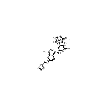 C[C@]1(c2cc(Nc3ncc(F)c4cc(OCc5ncco5)cnc34)cc(F)c2F)N=C(N)S[C@@]2(C(F)F)C[C@@H]12